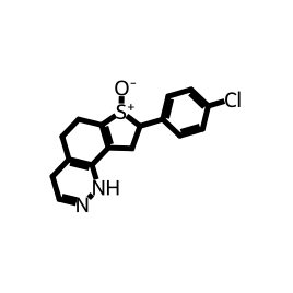 [O-][S+]1C2=C(CC1c1ccc(Cl)cc1)C1=C(CC=NN1)CC2